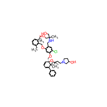 Cc1cccc(C)c1COc1cc(OC[C@@]2(OCCCN3CCC(O)C3)C=CC=C(c3ccccc3)C2(C)C)c(Cl)cc1CNC(C)(CO)CO